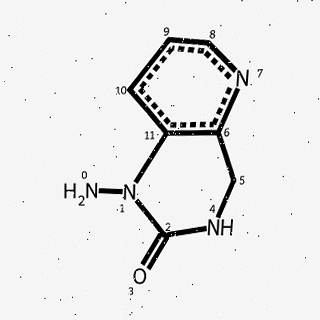 NN1C(=O)NCc2ncccc21